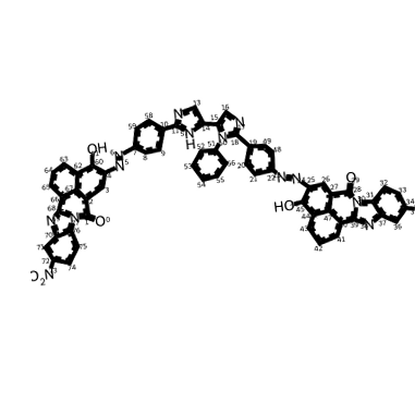 O=c1c2cc(/N=N/c3ccc(-c4ncc(-c5cnc(-c6ccc(/N=N/c7cc8c(=O)n9c%10ccc([N+](=O)[O-])cc%10nc9c9cccc(c7O)c89)cc6)n5-c5ccccc5)[nH]4)cc3)c(O)c3cccc(c32)c2nc3cc([N+](=O)[O-])ccc3n12